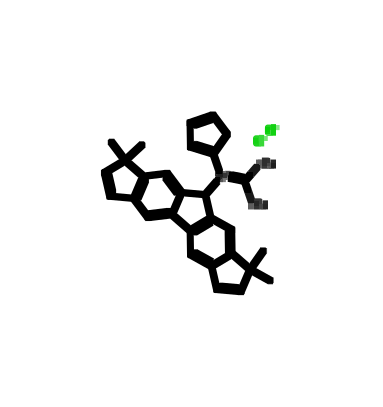 CCCC[C](CCCC)=[Zr+2]([C]1=CC=CC1)[CH]1c2cc3c(cc2-c2cc4c(cc21)C(C)(C)C=C4)C=CC3(C)C.[Cl-].[Cl-]